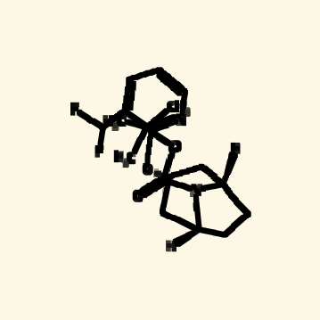 CC(C)(C)OC(=O)N1[C@@H]2CC[C@H]1C[C@@H](Oc1ncccc1C(F)F)C2